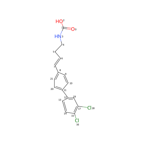 O=C(O)NCCC=Cc1ccc(-c2ccc(Cl)c(Cl)c2)cc1